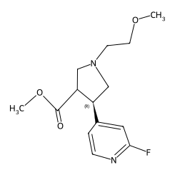 COCCN1CC(C(=O)OC)[C@H](c2ccnc(F)c2)C1